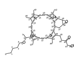 CCCCCOC(C)c1c(C)c2cc3nc(c4c5[nH]c(cc6nc(cc1[nH]2)C(C)=C6C)c(C)c5C1OC1C4)C(CCC(=O)CO)=C3C